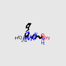 CC(=O)O.O=C(C=Cc1cnc(N[C@@H]2CCN(CCc3ccccc3)C2)cn1)NO